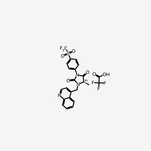 C[C@@H]1C(=O)N(c2ccc(S(=O)(=O)C(F)(F)F)cc2)C(=O)N1Cc1ccnc2ccccc12.O=C(O)C(F)(F)F